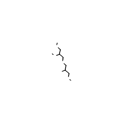 CCOCC(O)COCC(COCC)OCC